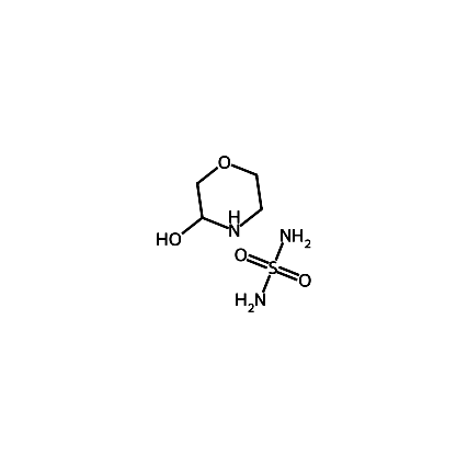 NS(N)(=O)=O.OC1COCCN1